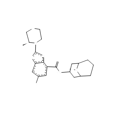 CC[C@H]1COCCN1c1nc2c(C(=O)NC3CC4CCCC(C3)N4C)cc(Cl)cc2o1